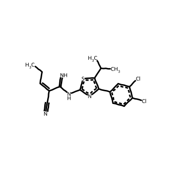 CC/C=C(/C#N)C(=N)Nc1nc(-c2ccc(Cl)c(Cl)c2)c(C(C)C)s1